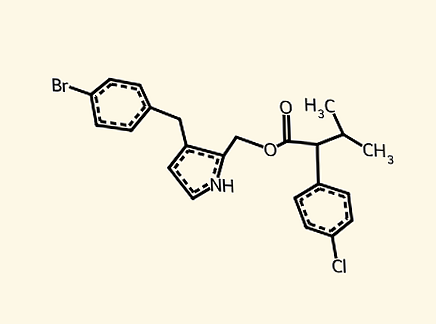 CC(C)C(C(=O)OCc1[nH]ccc1Cc1ccc(Br)cc1)c1ccc(Cl)cc1